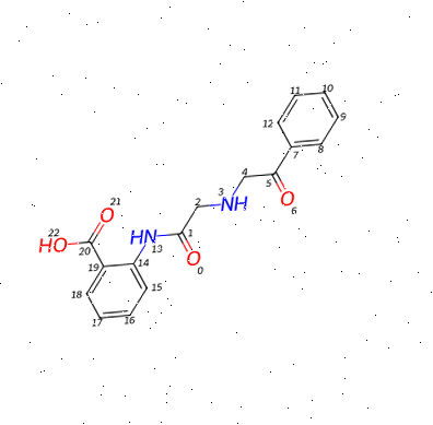 O=C(CNCC(=O)c1ccccc1)Nc1ccccc1C(=O)O